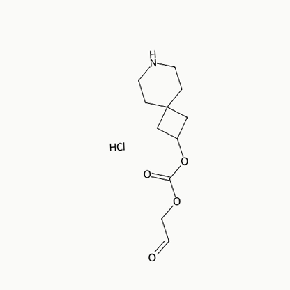 Cl.O=CCOC(=O)OC1CC2(CCNCC2)C1